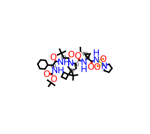 CC[C@@H]1C[C@]1(NC(=O)[C@@H]1C[C@@]2(CN1C(=O)[C@@H](NC(=O)[C@@H](NC(=O)OC(C)(C)C)C1CCCCC1)C(C)(C)C)C(C)(C)C21CCC1)C(=O)NS(=O)(=O)N1CCCC1